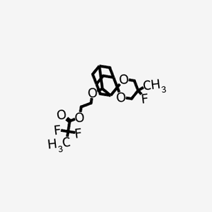 CC1(F)COC2(OC1)C1CC3CC(C1)C(OCCOC(=O)C(C)(F)F)C2C3